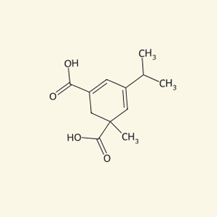 CC(C)C1=CC(C)(C(=O)O)CC(C(=O)O)=C1